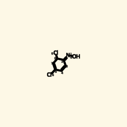 ON=C1[C]=CC(Cl)=CC1Cl